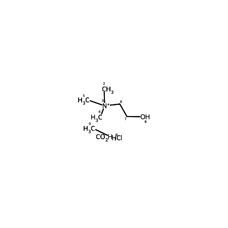 CC(=O)O.C[N+](C)(C)CCO.Cl